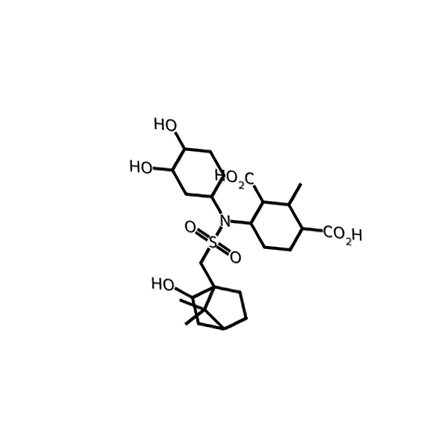 CC1C(C(=O)O)CCC(N(C2CCC(O)C(O)C2)S(=O)(=O)CC23CCC(CC2O)C3(C)C)C1C(=O)O